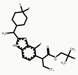 CC(C)(F)CNC(=O)C(CC(F)(F)F)c1ccc2[nH]c(C(N)C3CCC(F)(F)CC3)nc2c1F